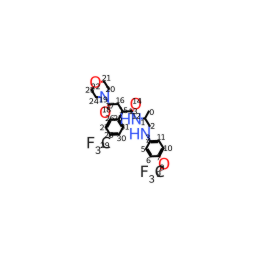 CC(CNc1ccc(OC(F)(F)F)cc1)NC(=O)C(CC(=O)N1CCOCC1)c1ccc(C(F)(F)F)cc1